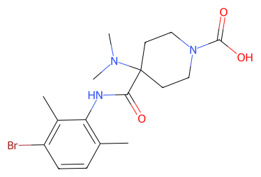 Cc1ccc(Br)c(C)c1NC(=O)C1(N(C)C)CCN(C(=O)O)CC1